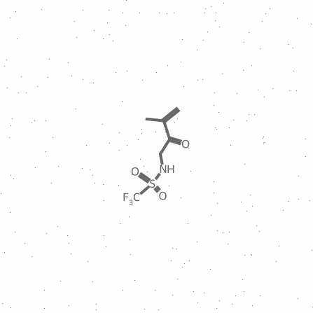 C=C(C)C(=O)CNS(=O)(=O)C(F)(F)F